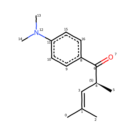 CC(C)=C[C@H](C)C(=O)c1ccc(N(C)C)cc1